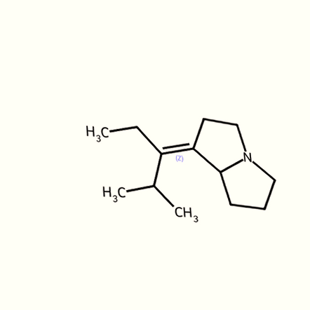 CC/C(=C1\CCN2CCCC12)C(C)C